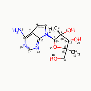 C[C@]1(O)[C@H](n2ccc3c(N)ncnc32)O[C@](C)(CO)[C@H]1O